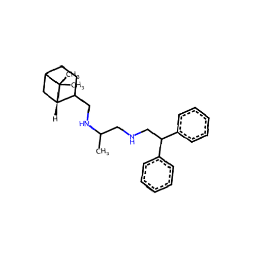 CC(CNCC(c1ccccc1)c1ccccc1)NCC1CCC2C[C@@H]1C2(C)C